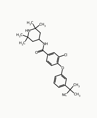 CC1(C)CC(NC(=O)c2ccc(Oc3cccc(C(C)(C)C#N)c3)c(Cl)c2)CC(C)(C)N1